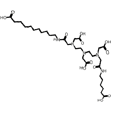 O=C(O)CCCCCCCCCCNC(=O)CN(CCN(CCN(CC(=O)O)CC(=O)NCCCCCC(=O)O)CC(=O)O)CC(=O)O